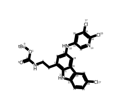 CC(C)(C)OC(=O)NCCc1cc(Nc2cnc(Cl)c(Cl)c2)cc2c1[nH]c1ccc(Cl)cc12